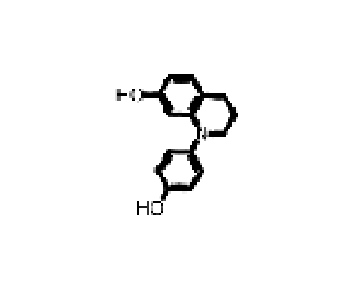 Oc1ccc(N2CCCc3ccc(O)cc32)cc1